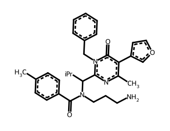 Cc1ccc(C(=O)N(CCCN)C(c2nc(C)c(-c3ccoc3)c(=O)n2Cc2ccccc2)C(C)C)cc1